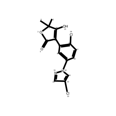 CC1(C)OC(=O)C(c2cc(-n3cc(Cl)cn3)ccc2Cl)=C1O